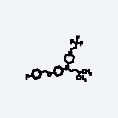 CC(C)CCN(c1ccc(OCc2ccc(F)cc2)cc1)C1CCN(CCC(F)(F)F)CC1